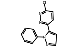 Clc1ccc(-c2ccnn2-c2ccccc2)nn1